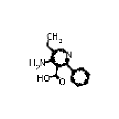 CCc1cnc(-c2ccccc2)c(C(=O)O)c1N